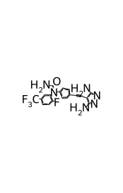 NC(=O)N(c1ccc(C#Cc2c(N)ncnc2N)cc1)c1cc(C(F)(F)F)ccc1F